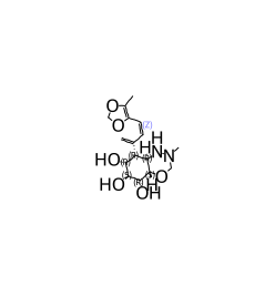 C=C(/C=C\C1=C(C)OCO1)[C@H]1[C@@H](O)[C@H](O)[C@@H](O)[C@H]2OCN(C)N[C@@H]21